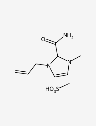 C=CCN1C=CN(C)C1C(N)=O.CS(=O)(=O)O